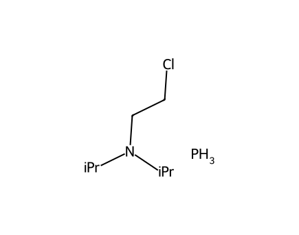 CC(C)N(CCCl)C(C)C.P